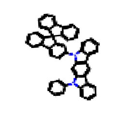 c1ccc(-n2c3ccccc3c3cc4c5ccccc5n(-c5ccc6c(c5)C5(c7ccccc7-c7ccccc75)c5ccccc5-6)c4cc32)cc1